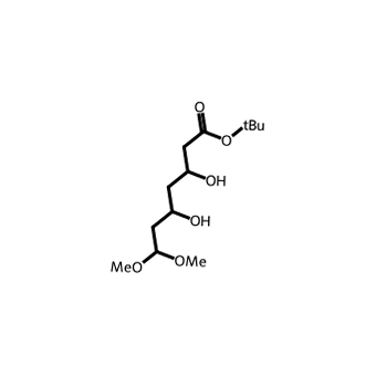 COC(CC(O)CC(O)CC(=O)OC(C)(C)C)OC